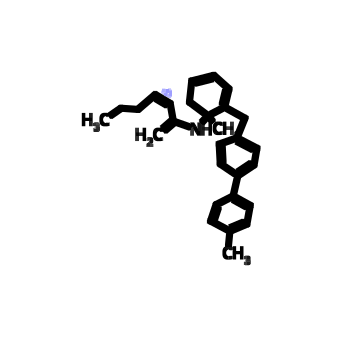 C=C(/C=C\CCC)NC1(C)CC=CC=C1Cc1ccc(-c2ccc(C)cc2)cc1